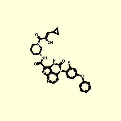 N#C/C(=C\C1CC1)C(=O)N1CCC[C@@H](NC(=O)c2sc3nccc4c3c2NC(=O)N4c2ccc(Oc3ccccc3)cc2F)C1